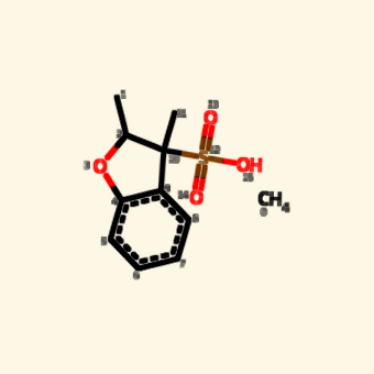 C.CC1Oc2ccccc2C1(C)S(=O)(=O)O